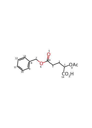 CC(=O)OC(CCC(=O)OCc1ccccc1)C(=O)O